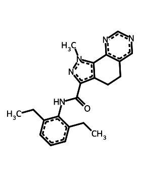 CCc1cccc(CC)c1NC(=O)c1nn(C)c2c1CCc1cncnc1-2